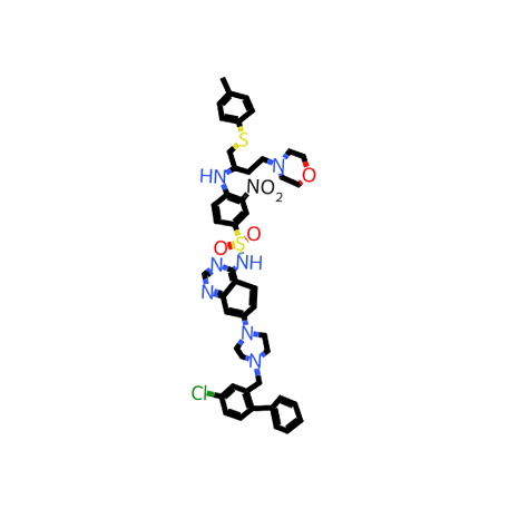 Cc1ccc(SCC(CCN2CCOCC2)Nc2ccc(S(=O)(=O)Nc3ncnc4cc(N5CCN(Cc6cc(Cl)ccc6-c6ccccc6)CC5)ccc34)cc2[N+](=O)[O-])cc1